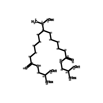 CCCCCCCCCCN(C)C(CCCCCC(=O)OCC(CCCCCC)CCCCCCCC)CCCCCC(=O)OCC(CCCCCC)CCCCCCCC